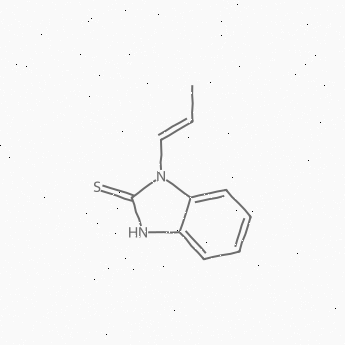 CC=Cn1c(=S)[nH]c2ccccc21